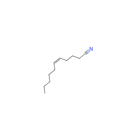 CCCCC/C=C\CCCC#N